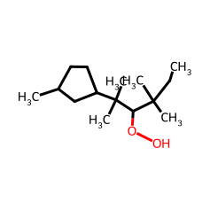 CCC(C)(C)C(OO)C(C)(C)C1CCC(C)C1